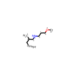 CCCCCCCCC(C)CNCCCOCC